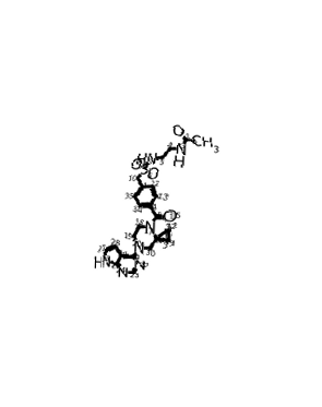 CC(=O)NCCNS(=O)(=O)Cc1ccc(C(=O)N2CCN(c3ncnc4[nH]ccc34)CC23CC3)cc1